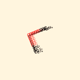 [Ce+3].[Ce+3].[Nb+5].[Nb+5].[O-2].[O-2].[O-2].[O-2].[O-2].[O-2].[O-2].[O-2].[O-2].[O-2].[O-2].[O-2].[O-2].[Sr+2].[Sr+2].[Y+3].[Y+3]